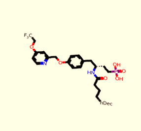 CCCCCCCCCCCCCC(=O)N[C@@H](CCP(=O)(O)O)Cc1ccc(OCc2cc(OCC(F)(F)F)ccn2)cc1